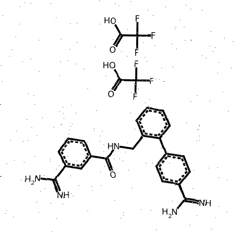 N=C(N)c1ccc(-c2ccccc2CNC(=O)c2cccc(C(=N)N)c2)cc1.O=C(O)C(F)(F)F.O=C(O)C(F)(F)F